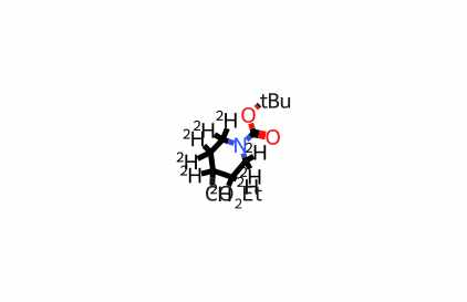 [2H]C1([2H])N(C(=O)OC(C)(C)C)C([2H])([2H])C([2H])([2H])C([2H])(C(=O)OCC)C1([2H])[2H]